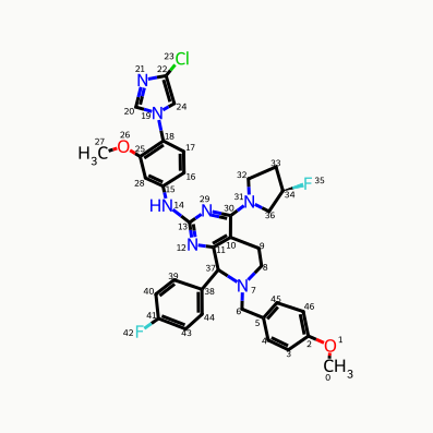 COc1ccc(CN2CCc3c(nc(Nc4ccc(-n5cnc(Cl)c5)c(OC)c4)nc3N3CC[C@@H](F)C3)C2c2ccc(F)cc2)cc1